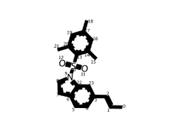 C/C=C/c1ccc2ccn(S(=O)(=O)c3c(C)cc(C)cc3C)c2c1